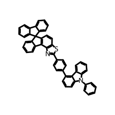 c1ccc(-n2c3ccccc3c3c(-c4ccc(-c5nc6c7c(ccc6s5)C5(c6ccccc6-c6ccccc65)c5ccccc5-7)cc4)cccc32)cc1